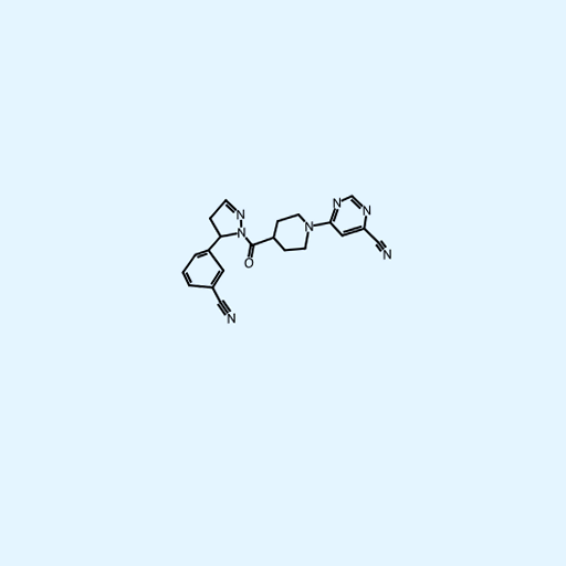 N#Cc1cccc(C2CC=NN2C(=O)C2CCN(c3cc(C#N)ncn3)CC2)c1